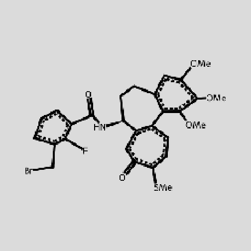 COc1cc2c(c(OC)c1OC)-c1ccc(SC)c(=O)cc1[C@@H](NC(=O)c1cccc(CBr)c1F)CC2